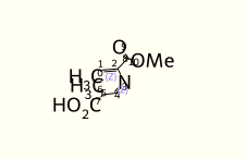 C/C=C(\N=C/C(C)C(=O)O)C(=O)OC